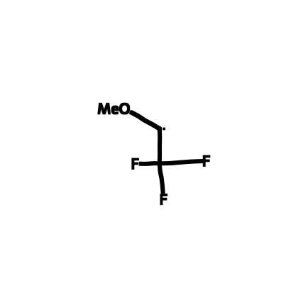 CO[CH]C(F)(F)F